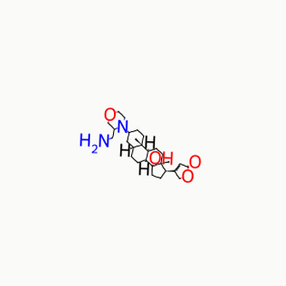 C[C@]12CC[C@H](N3CCOCC3CN)C[C@H]1CC[C@@H]1[C@@H]2CC[C@]2(C)[C@@H](C3=CC(=O)OC3)CC[C@]12O